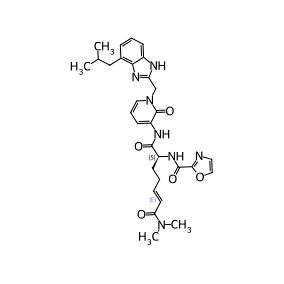 CC(C)Cc1cccc2[nH]c(Cn3cccc(NC(=O)[C@H](CC/C=C/C(=O)N(C)C)NC(=O)c4ncco4)c3=O)nc12